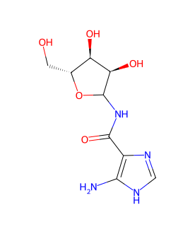 Nc1[nH]cnc1C(=O)NC1O[C@H](CO)[C@@H](O)[C@H]1O